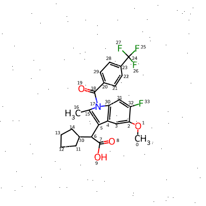 COc1cc2c(C(C(=O)O)C3CCCC3)c(C)n(C(=O)c3ccc(C(F)(F)F)cc3)c2cc1F